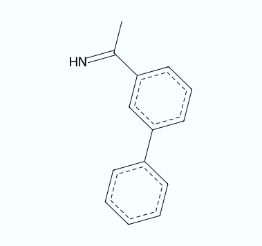 CC(=N)c1cccc(-c2ccccc2)c1